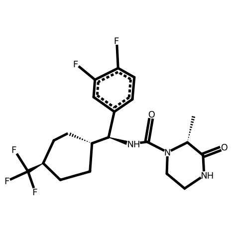 C[C@@H]1C(=O)NCCN1C(=O)N[C@H](c1ccc(F)c(F)c1)[C@H]1CC[C@H](C(F)(F)F)CC1